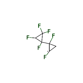 F[C]1CC1(F)C1(F)C(F)C1(F)F